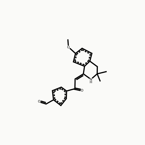 COc1ccc2c(c1)C(=CC(=O)c1ccc(C=O)cc1)NC(C)(C)C2